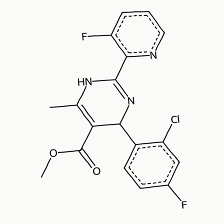 COC(=O)C1=C(C)NC(c2ncccc2F)=NC1c1ccc(F)cc1Cl